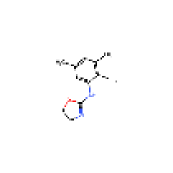 Cc1cc(C)c(C)c(NC2=NCCO2)c1